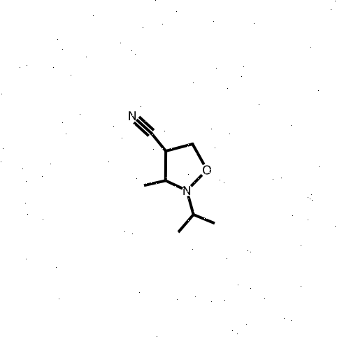 CC(C)N1OCC(C#N)C1C